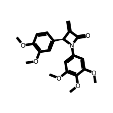 C=C1C(=O)N(c2cc(OC)c(OC)c(OC)c2)[C@H]1c1ccc(OC)c(OC)c1